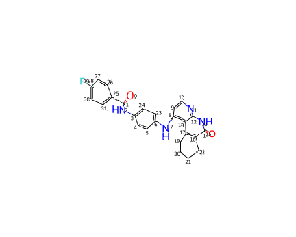 O=C(Nc1ccc(Nc2ccnc3[nH]c(=O)c4c(c23)CCCC4)cc1)c1ccc(F)cc1